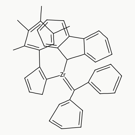 Cc1cc(C2=[C]([Zr](=[C](c3ccccc3)c3ccccc3)[CH]3c4ccccc4-c4ccccc43)CC=C2)c(C)c(C)c1C